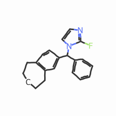 Fc1nccn1C(c1ccccc1)c1ccc2c(c1)CCCCC2